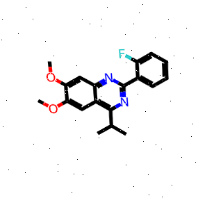 COc1cc2nc(-c3ccccc3F)nc(C(C)C)c2cc1OC